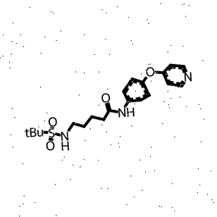 CC(C)(C)S(=O)(=O)NCCCCC(=O)Nc1ccc(Oc2ccncc2)cc1